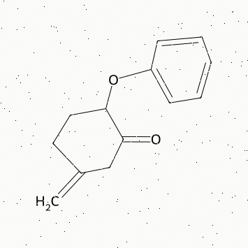 C=C1CCC(Oc2ccccc2)C(=O)C1